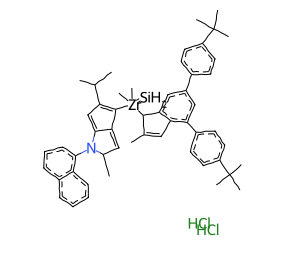 CC1=Cc2c(-c3ccc(C(C)(C)C)cc3)cc(-c3ccc(C(C)(C)C)cc3)cc2[CH]1[Zr]([CH3])([CH3])(=[SiH2])[C]1=C(C(C)C)C=C2C1=CC(C)N2c1cccc2ccccc12.Cl.Cl